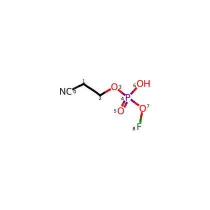 N#CCCOP(=O)(O)OF